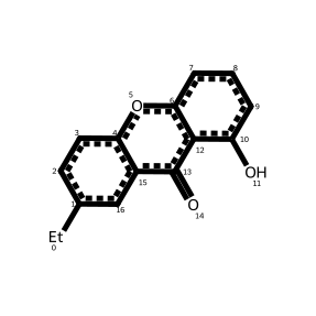 CCc1ccc2oc3cccc(O)c3c(=O)c2c1